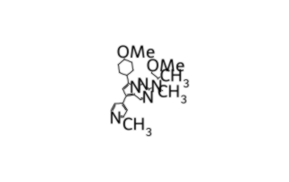 COCC(C)N(C)c1ncc2c(-c3ccnc(C)c3)cc(C3CCC(OC)CC3)n2n1